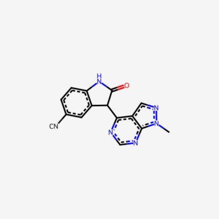 [C-]#[N+]c1ccc2c(c1)C(c1ncnc3c1cnn3C)C(=O)N2